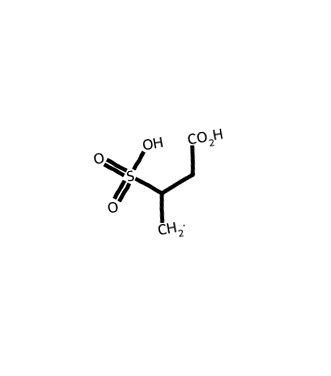 [CH2]C(CC(=O)O)S(=O)(=O)O